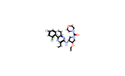 CCO[C@@H]1CN(C(=O)N2CCOCC2)C[C@@H]1Nc1nc(CC)c(-c2ccc(Cl)cc2Cl)nc1CC